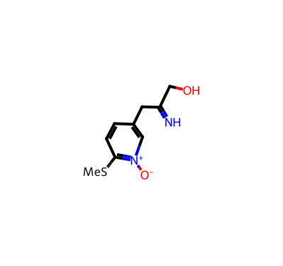 CSc1ccc(CC(=N)CO)c[n+]1[O-]